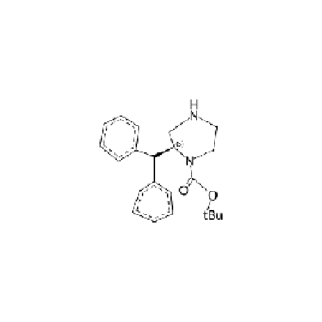 CC(C)(C)OC(=O)N1CCNC[C@@H]1C(c1ccccc1)c1ccccc1